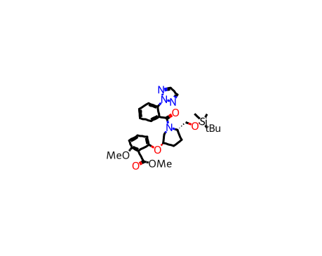 COC(=O)c1c(OC)cccc1O[C@@H]1CC[C@@H](CO[Si](C)(C)C(C)(C)C)N(C(=O)c2ccccc2-n2nccn2)C1